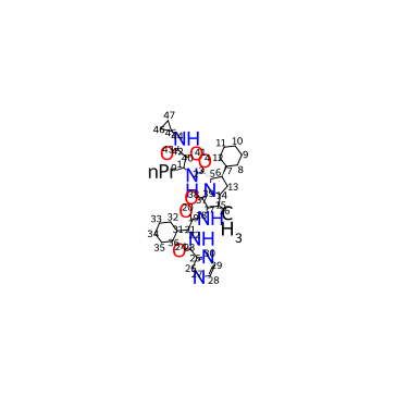 CCCC(NC(=O)[C@@H]1[C@@H](C2CCCCC2)CC2C(C)[C@H](NC(=O)[C@@H](NC(=O)c3cnccn3)C3CCCCC3)C(=O)N21)C(=O)C(=O)NC1CC1